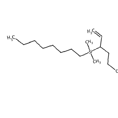 C=CC(CCC)[Si](C)(C)CCCCCCCC